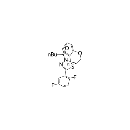 CCCCC(=O)N1N=C(c2cc(F)ccc2F)S[C@]12CCOc1ccccc12